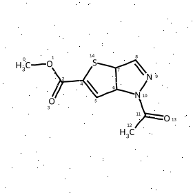 COC(=O)C1=CC2C(C=NN2C(C)=O)S1